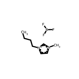 CCCC[n+]1ccn(C)c1.FB(F)F